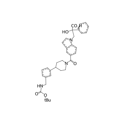 CC(C)(C)OC(=O)NCc1cccc(C2CCN(C(=O)c3ccc4c(ccn4CC(O)(C(=O)O)c4ccccc4)c3)CC2)c1